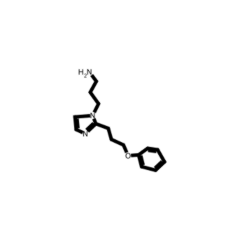 NCCCn1ccnc1CCCOc1ccccc1